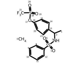 C.CC(NS(=O)(=O)c1ccccc1)c1ccc(OS(=O)(=O)C(F)(F)F)cc1